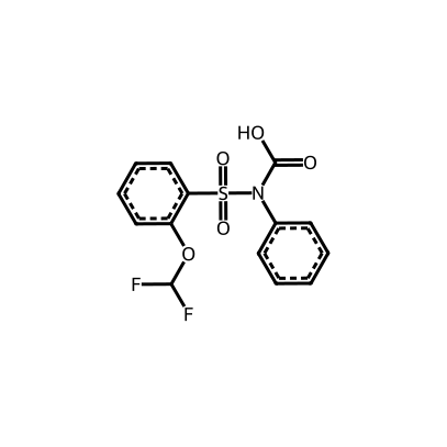 O=C(O)N(c1ccccc1)S(=O)(=O)c1ccccc1OC(F)F